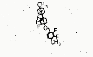 Cc1ccc(COC23CCC(C45CCC(C)(CC4)CC5)(CC2)C(F)(F)C3F)c(F)c1F